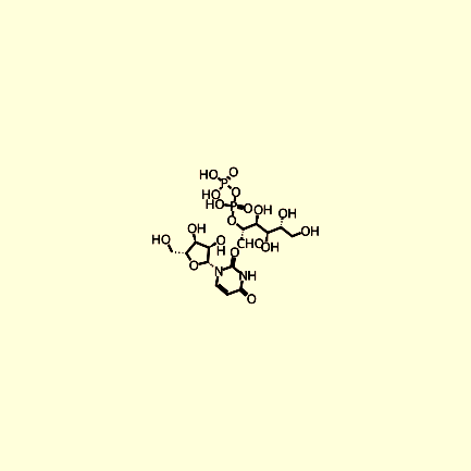 O=C[C@H](OP(=O)(O)OP(=O)(O)O)[C@@H](O)[C@H](O)[C@H](O)CO.O=c1ccn([C@@H]2O[C@H](CO)[C@@H](O)[C@H]2O)c(=O)[nH]1